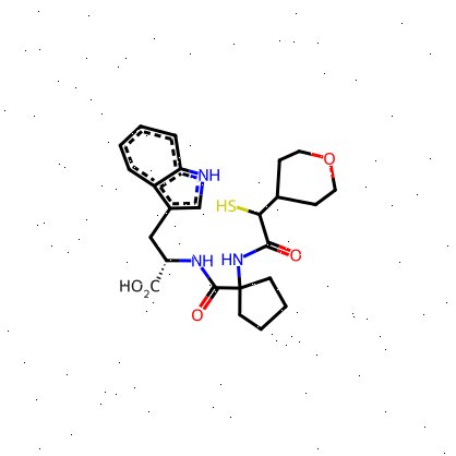 O=C(NC1(C(=O)N[C@@H](Cc2c[nH]c3ccccc23)C(=O)O)CCCC1)C(S)C1CCOCC1